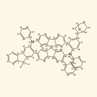 CC1(C)c2ccccc2-c2cc(N(c3ccccc3)c3ccc4c(c3)C3(c5ccccc5-4)c4ccccc4-c4cc(-c5ccccc5)c(N(c5ccccc5)c5ccc(C6CC7CCC6C7)cc5)cc43)ccc21